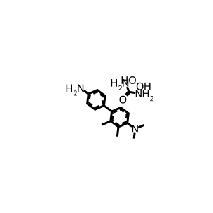 Cc1c(-c2ccc(N)cc2)ccc(N(C)C)c1C.NC(N)=O.OO